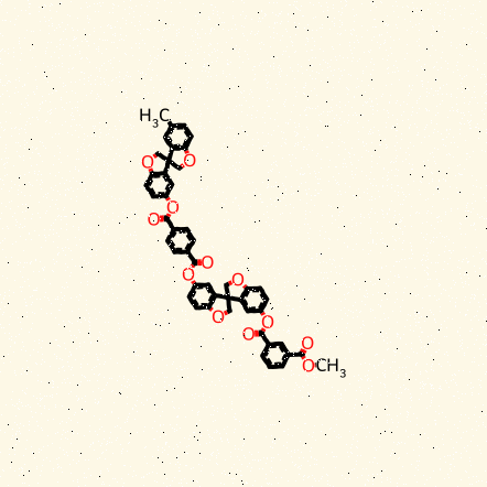 COC(=O)c1cccc(C(=O)Oc2ccc3c(c2)C2(COc4ccc(OC(=O)c5ccc(C(=O)Oc6ccc7c(c6)C6(COc8ccc(C)cc86)CO7)cc5)cc42)CO3)c1